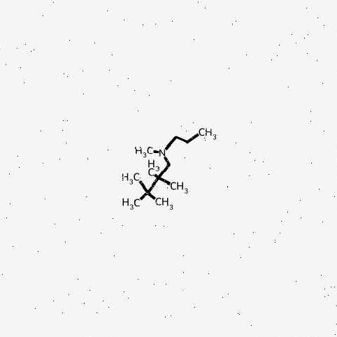 CCCN(C)CC(C)(C)C(C)(C)C